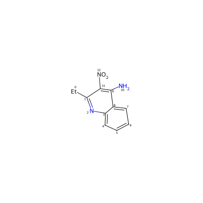 CCc1nc2ccccc2c(N)c1[N+](=O)[O-]